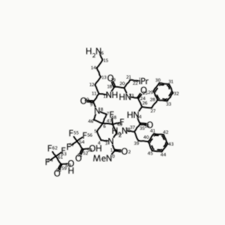 CNC(=O)N1CCC2(CN(C(=O)C(CCCCN)NC(=O)C(CC(C)C)NC(=O)C(Cc3ccccc3)NC(=O)C(N)Cc3ccccc3)C2)C(F)(F)C1.O=C(O)C(F)(F)F.O=C(O)C(F)(F)F